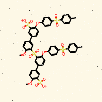 COc1ccc(-c2ccc(Oc3ccc(S(=O)(=O)c4ccc(C)cc4)cc3)c(S(=O)(=O)c3cc(-c4ccc(Oc5ccc(S(=O)(=O)c6ccc(C)cc6)cc5)c(S(=O)(=O)O)c4)ccc3OC)c2)cc1S(=O)(=O)O